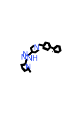 Cc1cccc(-c2nnc(C3CCN(Cc4ccc(-c5[c]cccc5)cc4)CC3)[nH]2)n1